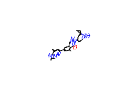 Cc1cn2nc(-c3cc(C)c4c(=O)n(C5CCNC6(CC6)C5)ncc4c3)cc(C)c2n1